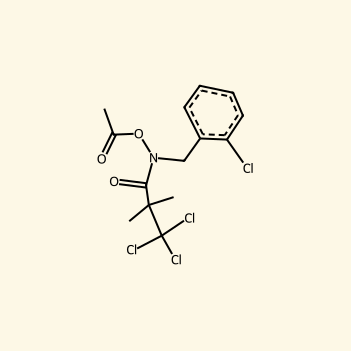 CC(=O)ON(Cc1ccccc1Cl)C(=O)C(C)(C)C(Cl)(Cl)Cl